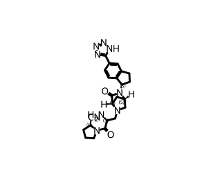 N#C[C@@H]1CCCN1C(=O)[C@@H](N)CN1C[C@@H]2C[C@H]1C(=O)N2[C@H]1CCc2cc(-c3nnn[nH]3)ccc21